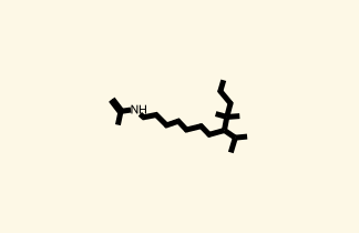 C=C(C)NCCCCCCCC(C(C)C)C(C)(C)CCC